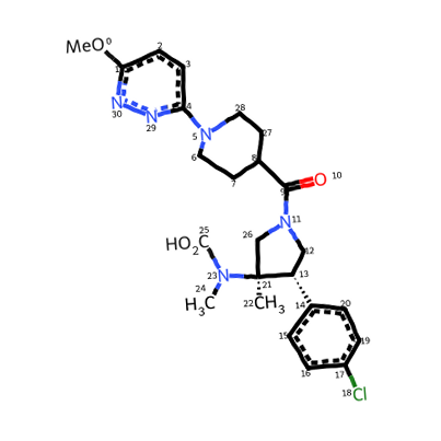 COc1ccc(N2CCC(C(=O)N3C[C@H](c4ccc(Cl)cc4)[C@@](C)(N(C)C(=O)O)C3)CC2)nn1